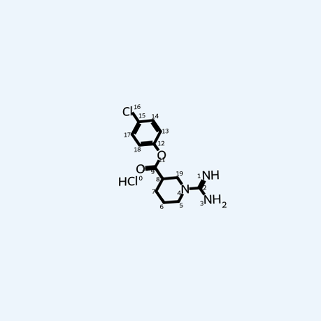 Cl.N=C(N)N1CCCC(C(=O)Oc2ccc(Cl)cc2)C1